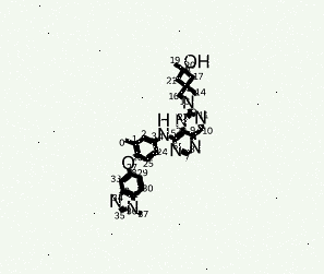 Cc1cc(Nc2ncnc3cnc(N4CC5(C4)CC(C)(O)C5)nc23)ccc1Oc1ccc2c(c1)ncn2C